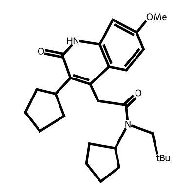 COc1ccc2c(CC(=O)N(CC(C)(C)C)C3CCCC3)c(C3CCCC3)c(=O)[nH]c2c1